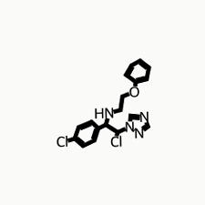 Clc1ccc(C(NCCOc2ccccc2)C(Cl)n2cncn2)cc1